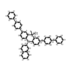 CCC1(C)c2cc(-c3ccc(-c4ccccc4)cc3)ccc2N(c2ccc3ccccc3c2)c2ccc(-c3ccc(-c4ccccc4)cc3)cc21